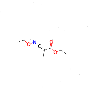 CCON=C=C(C)C(=O)OCC